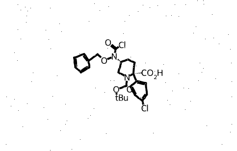 CC(C)(C)OC(=O)N1C[C@H](N(OCc2ccccc2)C(=O)Cl)CC[C@@]1(C(=O)O)c1ccc(Cl)cc1